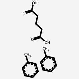 Cc1ccccc1.Cc1ccccc1.O=C(O)CCCC(=O)O